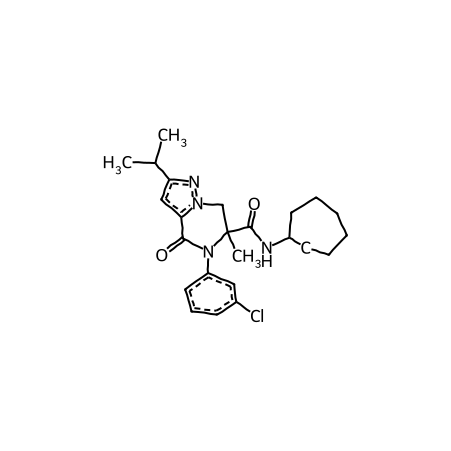 CC(C)c1cc2n(n1)CC(C)(C(=O)NC1CCCCCC1)N(c1cccc(Cl)c1)C2=O